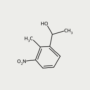 Cc1c(C(C)O)cccc1[N+](=O)[O-]